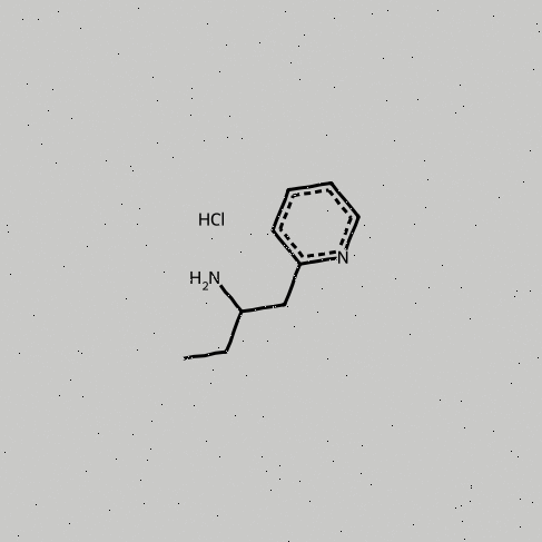 CCC(N)Cc1ccccn1.Cl